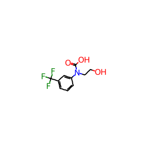 O=C(O)N(CCO)c1cccc(C(F)(F)F)c1